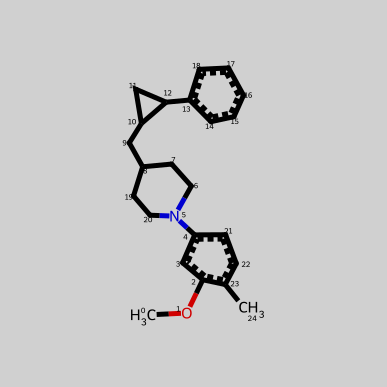 COc1cc(N2CCC(CC3CC3c3ccccc3)CC2)ccc1C